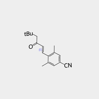 Cc1cc(C#N)cc(C)c1/C=C/C(=O)CC(C)(C)C